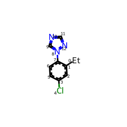 CCc1cc(Cl)ccc1-n1cncn1